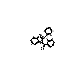 O=c1c2ccccc2n(-c2ccccc2)c2nc3ccccc3n12